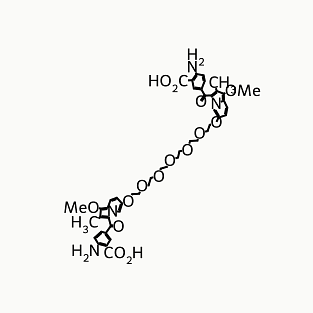 COc1c(C)c(C(=O)c2ccc(N)c(C(=O)O)c2)n2cc(OCCOCCOCCOCCOCCOCCOc3ccc4c(OC)c(C)c(C(=O)c5ccc(N)c(C(=O)O)c5)n4c3)ccc12